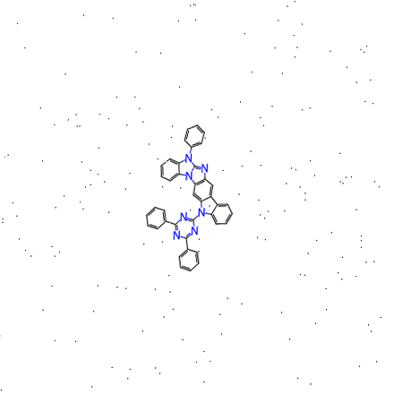 c1ccc(-c2nc(-c3ccccc3)nc(-n3c4ccccc4c4cc5nc6n(-c7ccccc7)c7ccccc7n6c5cc43)n2)cc1